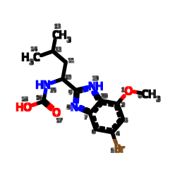 COc1cc(Br)cc2nc(C(CC(C)C)NC(=O)O)[nH]c12